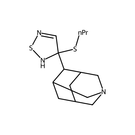 CCCSC1(C2C3CC4CC2CN(C4)C3)C=NSN1